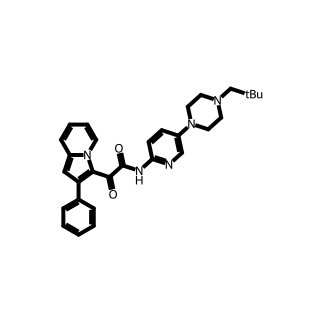 CC(C)(C)CN1CCN(c2ccc(NC(=O)C(=O)c3c(-c4ccccc4)cc4ccccn34)nc2)CC1